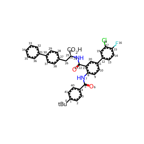 CC(C)(C)c1ccc(C(=O)Nc2ccc(-c3ccc(F)c(Cl)c3)cc2C(=O)N[C@@H](Cc2ccc(-c3ccccc3)cc2)C(=O)O)cc1